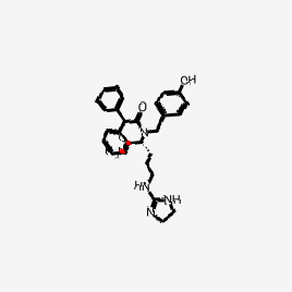 NC(=O)[C@@H](CCCNC1=NCCN1)N(Cc1ccc(O)cc1)C(=O)C(c1ccccc1)c1ccccc1